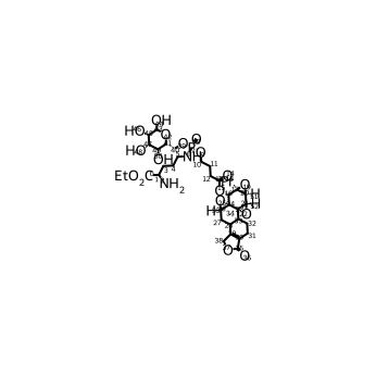 CCOC(=O)C(N)CCCNP(=O)(OCCCC(=O)O[C@@H]1[C@@]2(C(C)C)O[C@H]2[C@@H]2O[C@]23[C@]12O[C@H]2CC1C2=C(CC[C@@]13C)C(=O)OC2)OC[C@H]1OC(O)[C@@H](O)[C@@H](O)[C@@H]1O